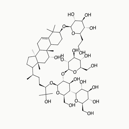 C[C@H](CC[C@@H](O[C@@H]1O[C@H](CO)[C@@H](C2O[C@H](CO)[C@@H](O)[C@H](O)[C@H]2O)[C@H](O)[C@H]1O[C@@H]1O[C@H](CO)[C@@H](O)[C@H](O)[C@H]1O)C(C)(C)O)C1CC[C@@]2(C)C3CC=C4C(CC[C@H](O[C@@H]5O[C@H](CCO)[C@@H](O)[C@H](O)[C@H]5O)C4(C)C)[C@]3(C)[C@H](O)C[C@]12C